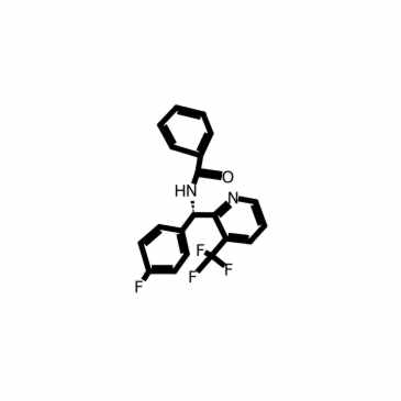 O=C(N[C@@H](c1ccc(F)cc1)c1ncccc1C(F)(F)F)c1ccccc1